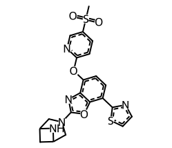 CS(=O)(=O)c1ccc(Oc2ccc(-c3nccs3)c3oc(N4CC5CC(C4)N5)nc23)nc1